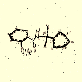 COc1ccccc1[S+]([O-])NC(C)(C)c1ccccc1